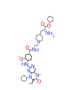 CC[C@@H]1C(=O)N(C)c2cnc(Nc3ccc(C(=O)NCCN4CCC(CC(N)C(=O)OC5CCCC5)CC4)cc3OC)nc2N1C1CCCC1